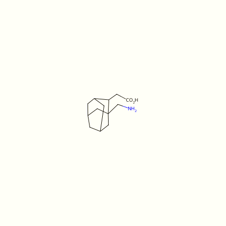 NCC12CC3CC(CC(C3)C1CC(=O)O)C2